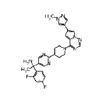 Cn1cc(-c2cc3c(N4CC=C(c5ncc(C(C)(N)c6ccc(F)cc6F)cn5)CC4)ncnn3c2)cn1